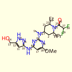 CCCC1CC(N(C)c2nc(Nc3cc(CO)[nH]n3)cc(OC)n2)CC(CC)N1C(=O)C(F)F